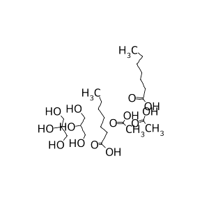 CC(=O)O.CC(=O)O.CCCCCCC(=O)O.CCCCCCC(=O)O.OCC(O)CO.OCC(O)CO